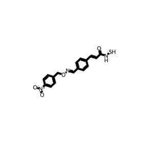 O=C(/C=C/c1ccc(/C=N/OCc2ccc([N+](=O)[O-])cc2)cc1)NS